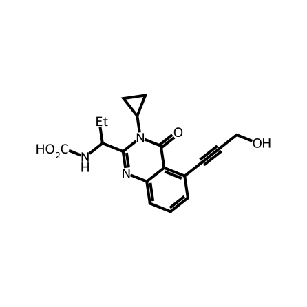 CCC(NC(=O)O)c1nc2cccc(C#CCO)c2c(=O)n1C1CC1